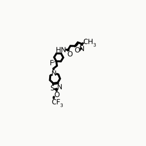 Cc1cc(CC(=O)N[C@H]2CC[C@](F)(CCN3CCc4nc(OCC(F)(F)F)sc4CC3)CC2)on1